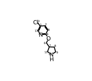 Clc1ccc(OCC2CCNC2)nc1